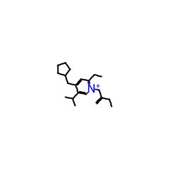 C=C(CC)C[n+]1cc(C(C)C)c(CC2CCCC2)cc1CC